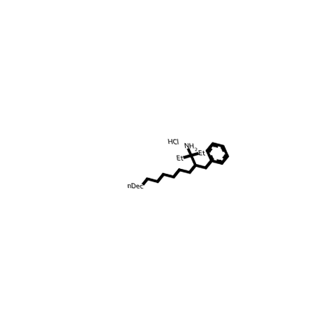 CCCCCCCCCCCCCCCCC(Cc1ccccc1)C(N)(CC)CC.Cl